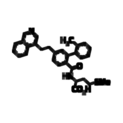 CSCCC(NC(=O)c1ccc(CCc2cncc3ccccc23)cc1-c1ccccc1C)C(=O)O